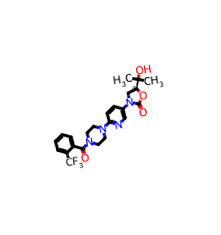 CC(C)(O)[C@@H]1CN(c2ccc(N3CCN(C(=O)c4ccccc4C(F)(F)F)CC3)nc2)C(=O)O1